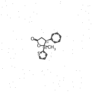 C[C@@]1(c2cccs2)OC(=O)C[C@H]1c1ccccc1